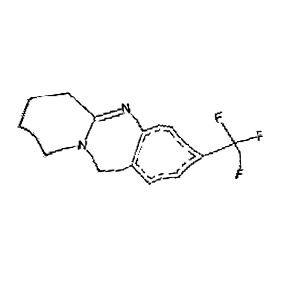 FC(F)(F)c1ccc2c(c1)N=C1CCCCN1C2